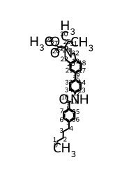 CCCCCc1ccc(C(=O)Nc2ccc(-c3ccc4c(c3)CN(C(C(=O)OC)C(C)C)C4)cc2)cc1